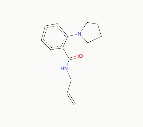 C=CCNC(=O)c1ccccc1N1CCCC1